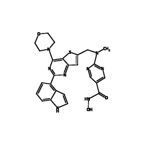 CN(Cc1cc2nc(-c3cccc4[nH]ccc34)nc(N3CCOCC3)c2s1)c1ncc(C(=O)NO)cn1